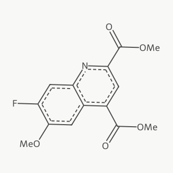 COC(=O)c1cc(C(=O)OC)c2cc(OC)c(F)cc2n1